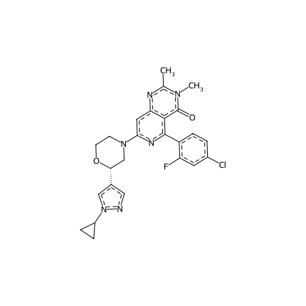 Cc1nc2cc(N3CCO[C@@H](c4cnn(C5CC5)c4)C3)nc(-c3ccc(Cl)cc3F)c2c(=O)n1C